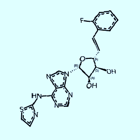 O[C@@H]1[C@H](O)[C@@H](C=Cc2ccccc2F)O[C@H]1n1cnc2c(Nc3nccs3)ncnc21